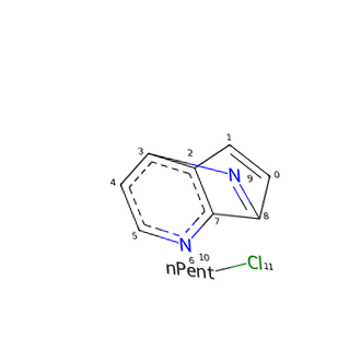 C1=Cc2c3ccnc2C1=N3.CCCCCCl